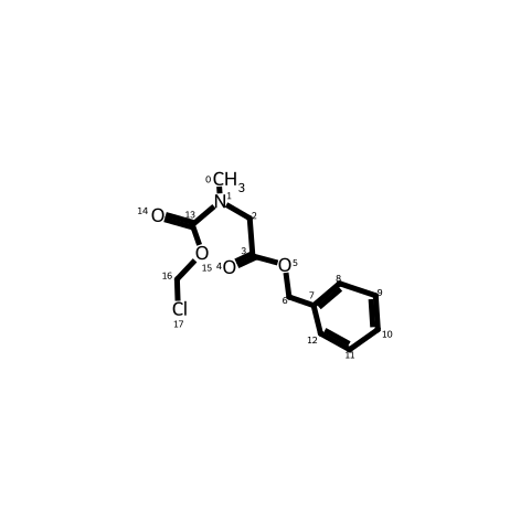 CN(CC(=O)OCc1ccccc1)C(=O)OCCl